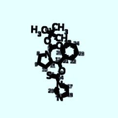 CC(C)(C)OC(=O)N1CCC[C@@H]1C(OC(=S)n1ccnc1)c1ccccc1